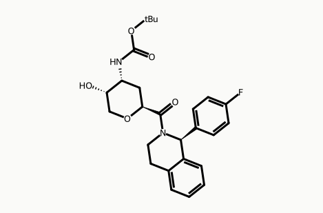 CC(C)(C)OC(=O)N[C@@H]1C[C@@H](C(=O)N2CCc3ccccc3[C@@H]2c2ccc(F)cc2)OC[C@@H]1O